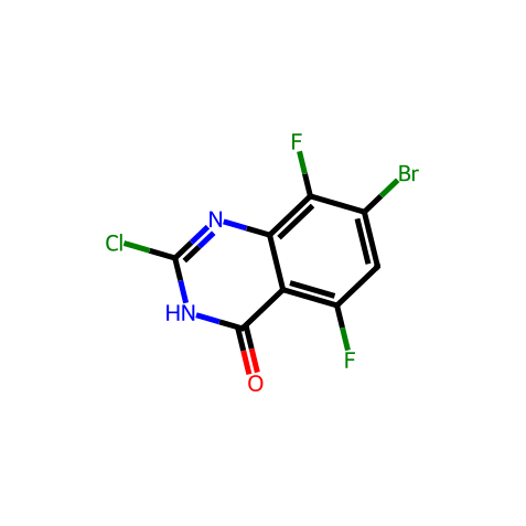 O=c1[nH]c(Cl)nc2c(F)c(Br)cc(F)c12